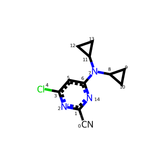 N#Cc1nc(Cl)cc(N(C2CC2)C2CC2)n1